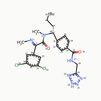 CN=C(C(=O)N(C)[C@H](CCC(C)(C)C)c1ccc(C(=O)NCc2nn[nH]n2)cc1)c1cc(Cl)cc(Cl)c1